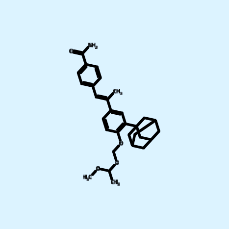 COC(C)OCOc1ccc(C(C)=Cc2ccc(C(N)=O)cc2)cc1C12CC3CC(CC(C3)C1)C2